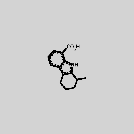 CC1CCCc2c1[nH]c1c(C(=O)O)cccc21